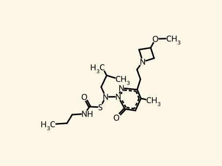 CCCNC(=O)SN(CC(C)C)n1nc(CCN2CC(OC)C2)c(C)cc1=O